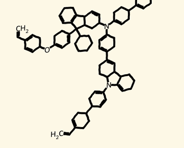 C=CC1=CCC(OC2=CC=C(C3(C4CCCCC4)C4=C(CCC=C4)C4C=CC(N(C5=CC=C(C6=CC7C8CCCC=C8N(C8=CCC(C9CC=C(C=C)CC9)C=C8)C7CC6)CC5)C5=CCC(C6=CCC(C(C)(C)C)CC6)CC5)CC43)CC2)C=C1